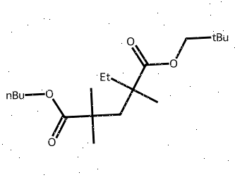 CCCCOC(=O)C(C)(C)CC(C)(CC)C(=O)OCC(C)(C)C